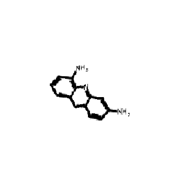 Nc1ccc2cc3cccc(N)c3nc2c1